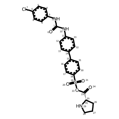 O=C(Nc1ccc(Cl)cc1)Nc1ccc(-c2ccc(S(=O)(=O)OC(=O)[C@@H]3CCCN3)cc2)cc1